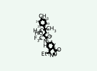 CCc1noc(=O)c2ccc(NC(=O)C(O)(CC(C)(C)c3ccc(C)cc3)C(F)(F)F)cc12